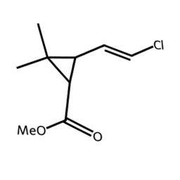 COC(=O)C1C(C=CCl)C1(C)C